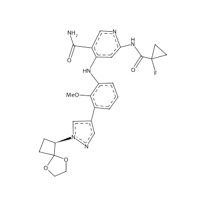 COc1c(Nc2cc(NC(=O)C3(F)CC3)ncc2C(N)=O)cccc1-c1cnn([C@@H]2CCC23OCCO3)c1